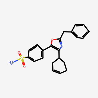 NS(=O)(=O)c1ccc(-c2oc(Cc3ccccc3)nc2C2CC=CCC2)cc1